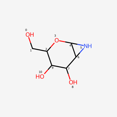 OCC1OC2NC2C(O)C1O